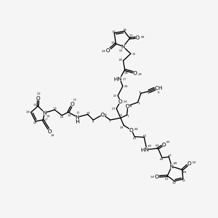 C#CCCOCC(COCCNC(=O)CCN1C(=O)C=CC1=O)(COCCNC(=O)CCN1C(=O)C=CC1=O)COCCNC(=O)CCN1C(=O)C=CC1=O